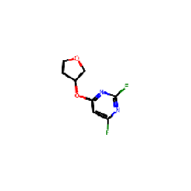 Fc1cc(O[C@H]2CCOC2)nc(F)n1